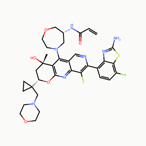 C=CC(=O)N[C@H]1COCCN(c2c3c(nc4c(F)c(-c5ccc(F)c6sc(N)nc56)ncc24)O[C@H](C2(CN4CCOCC4)CC2)C[C@]3(C)O)C1